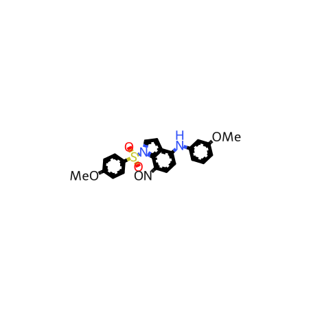 COc1ccc(S(=O)(=O)n2ccc3c(Nc4cccc(OC)c4)ccc(N=O)c32)cc1